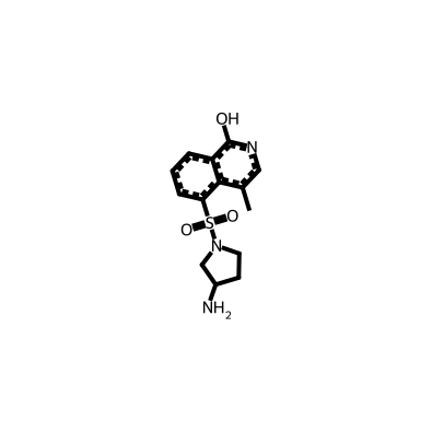 Cc1cnc(O)c2cccc(S(=O)(=O)N3CCC(N)C3)c12